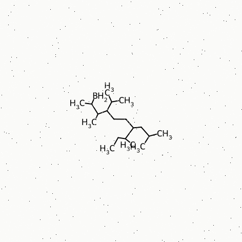 BC(C)C(C)C(CCC(CC(C)C)C(C)CC)C(C)C